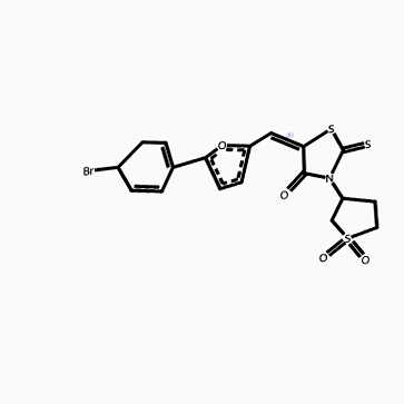 O=C1/C(=C\c2ccc(C3=CCC(Br)C=C3)o2)SC(=S)N1C1CCS(=O)(=O)C1